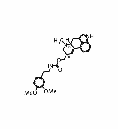 COc1ccc(CCNC(=O)OC[C@@H]2C=C3c4cccc5[nH]cc(c45)C[C@H]3N(C)C2)cc1OC